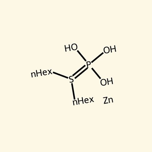 CCCCCCS(CCCCCC)=P(O)(O)O.[Zn]